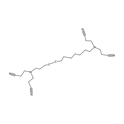 N#CCCN(CCC#N)CCCCCCCCCCCCN(CCC#N)CCC#N